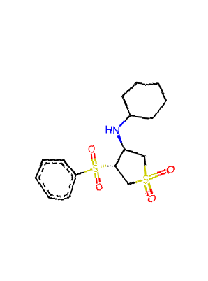 O=S1(=O)C[C@H](NC2CCCCC2)[C@@H](S(=O)(=O)c2ccccc2)C1